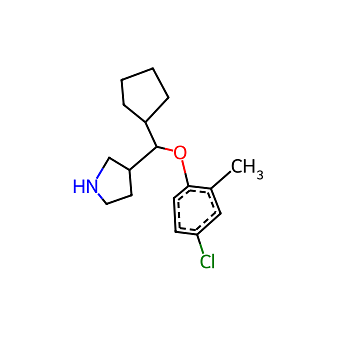 Cc1cc(Cl)ccc1OC(C1CCCC1)C1CCNC1